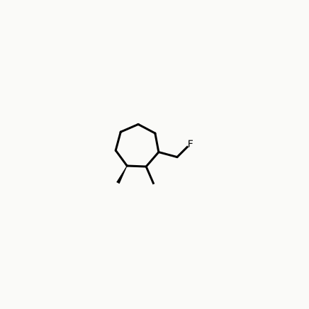 CC1C(CF)CCCC[C@@H]1C